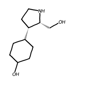 OC[C@H]1NCC[C@H]1C1CCC(O)CC1